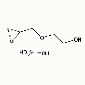 O=S(=O)(O)O.OCCOCC1CO1